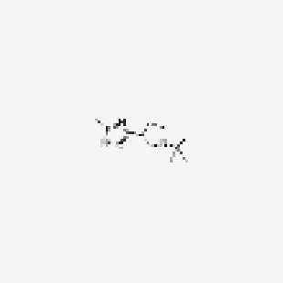 Cc1noc(C2CCN(C(C)(C)C)C2)n1